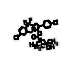 CN(CC(C)(C)O)C(=O)Oc1c(-c2ccc(Cl)cc2)cc(C(F)(F)F)n1Cc1cccc(Cl)c1